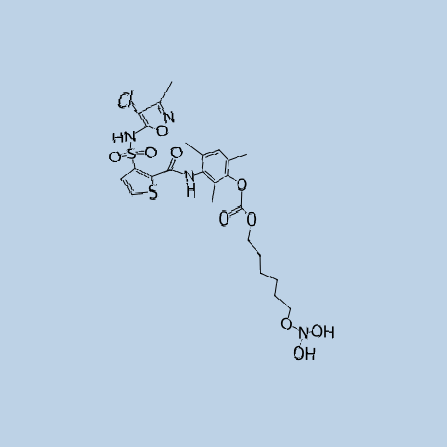 Cc1cc(C)c(OC(=O)OCCCCCCON(O)O)c(C)c1NC(=O)c1sccc1S(=O)(=O)Nc1onc(C)c1Cl